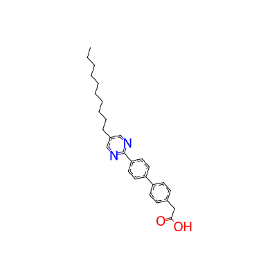 CCCCCCCCCCc1cnc(-c2ccc(-c3ccc(CC(=O)O)cc3)cc2)nc1